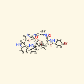 CC(C)[C@@H]1NC(=O)[C@@H](NC(=O)c2ccc(Br)cc2)Cc2ccc3c(c2)C24c5cccc(c5NC2O3)-c2cccc3[nH]cc(c23)-c2cnc(o2)-c2nc1oc24